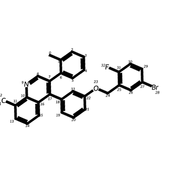 Cc1ccccc1-c1cnc2c(C(F)(F)F)cccc2c1-c1cccc(OCc2cc(Br)ccc2F)c1